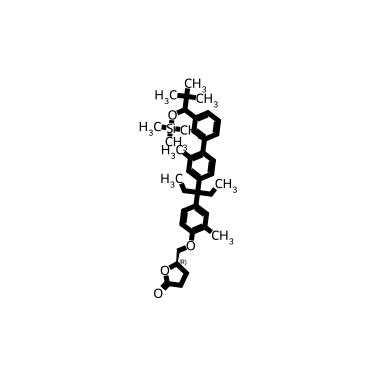 CCC(CC)(c1ccc(OC[C@H]2CCC(=O)O2)c(C)c1)c1ccc(-c2cccc(C(O[Si](C)(C)C)C(C)(C)C)c2)c(C)c1